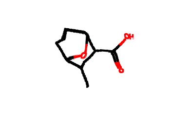 CC1C2CCC(O2)C1C(=O)O